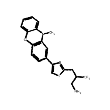 CC(CN)Cc1nc(-c2ccc3c(c2)N(C)c2ccccc2O3)cs1